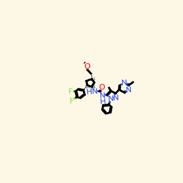 COCC[C@@H]1C[C@@H](NC(=O)Nc2c(C)c(-c3cnc(C)nc3)nn2-c2ccccc2)[C@H](c2ccc(F)c(F)c2)C1